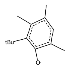 Cc1cc(C)c([O])c(C(C)(C)C)c1C